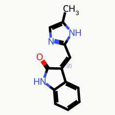 Cc1cnc(/C=C2\C(=O)Nc3ccccc32)[nH]1